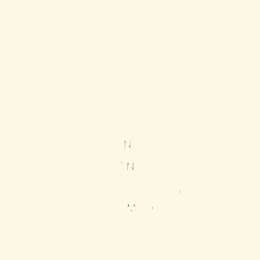 COC(=O)c1cc(-c2ccc(Cl)cc2)nn1-c1ccccc1